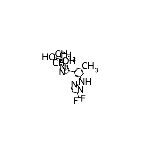 Cc1cc(Nc2nccc(C(F)F)n2)cc(-c2cnn(C[C@@](C)(O)C(C)(C)O)c2)c1